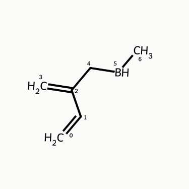 C=CC(=C)CBC